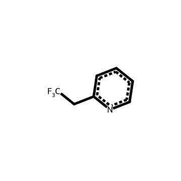 FC(F)(F)Cc1ccccn1